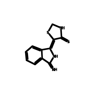 N=C1NC(=C2SCNC2=S)c2ccccc21